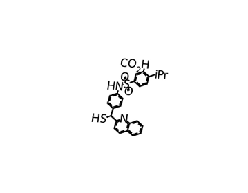 CC(C)c1ccc(S(=O)(=O)Nc2ccc(C(S)c3ccc4ccccc4n3)cc2)cc1C(=O)O